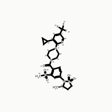 C[C@@H]1CCS(=O)(=O)N1c1ccc(C(=O)N2CCN(c3ncc(C(F)(F)F)cc3C3CC3)CC2)c(S(C)(=O)=O)c1